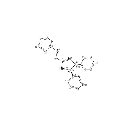 c1ccc(SCC2=N[C@@H](c3ccccc3)[C@@H](c3cccnc3)N2)cc1